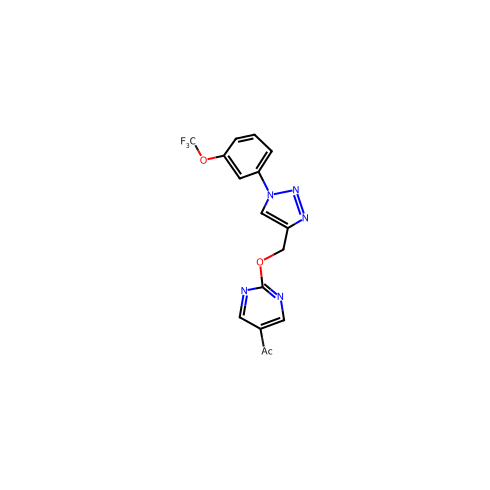 CC(=O)c1cnc(OCc2cn(-c3cccc(OC(F)(F)F)c3)nn2)nc1